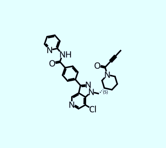 CC#CC(=O)N1CCC[C@H](Cn2nc(-c3ccc(C(=O)Nc4ccccn4)cc3)c3cncc(Cl)c32)C1